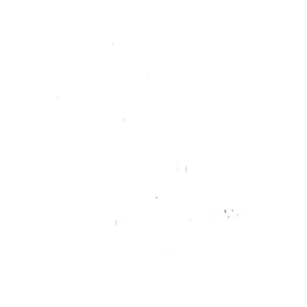 CCC(CCc1ccccc1)(C(=O)OC)C(C)C